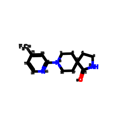 O=C1NCCC12CCN(c1cc(C(F)(F)F)ccn1)CC2